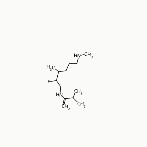 C=C(NCC(F)C(C)CCCNC)C(C)C